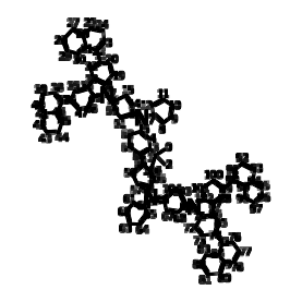 CC1(C)c2cc(N(c3ccccc3)c3ccc(-n4c5ccc(-c6cccc7ccccc67)cc5c5cc(-c6cccc7ccccc67)ccc54)cc3)ccc2-c2ccc(N(c3ccccc3)c3ccc(-n4c5ccc(-c6cccc7ccccc67)cc5c5cc(-c6cccc7ccccc67)ccc54)cc3)cc21